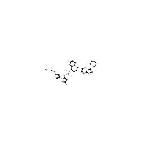 CS(=O)OCCn1cc(-n2nc(C(C)(C)C)cc2NC(=O)NC2CCC(Oc3ccc4nnc(N5CCCCC5)n4c3)c3ccccc32)cn1